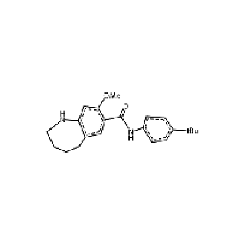 COc1cc2c(cc1C(=O)Nc1ccc(C(C)(C)C)cc1)CCCCN2